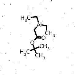 C[CH2][Al]([CH2]C)[CH2]C(=O)OC(C)(C)C